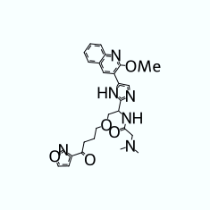 COc1nc2ccccc2cc1-c1cnc(C(COCCCC(=O)c2ccon2)NC(=O)CN(C)C)[nH]1